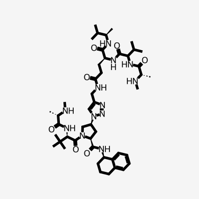 CN[C@@H](C)C(=O)NC(C(=O)N[C@@H](CCC(=O)NCc1cn([C@H]2C[C@@H](C(=O)N[C@@H]3CCCc4ccccc43)N(C(=O)[C@@H](NC(=O)[C@H](C)NC)C(C)(C)C)C2)nn1)C(=O)N[C@H](C)C(C)C)C(C)C